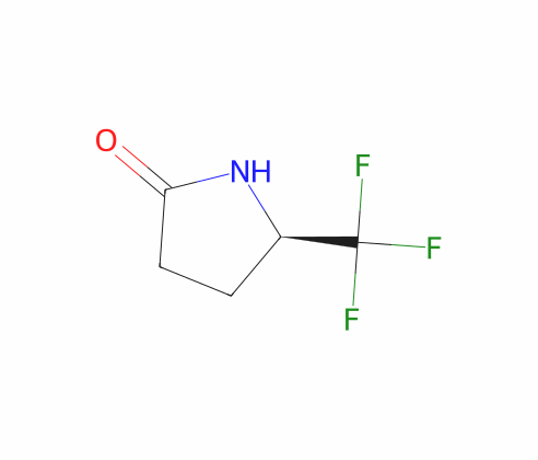 O=C1CC[C@H](C(F)(F)F)N1